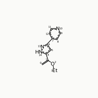 C=C(OCC)c1cc(-c2ccncc2)n[nH]1